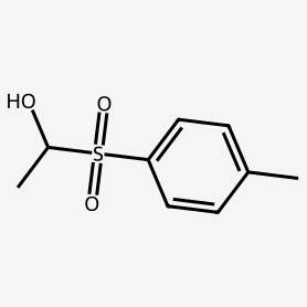 Cc1ccc(S(=O)(=O)C(C)O)cc1